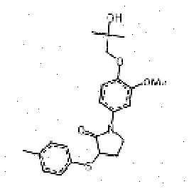 COc1cc(N2CCC(Sc3ccc(C)cc3)C2=O)ccc1OCC(C)(C)O